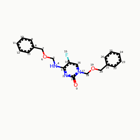 O=c1nc(NCOCc2ccccc2)c(F)cn1COCc1ccccc1